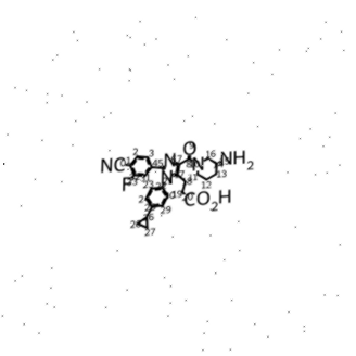 N#Cc1ccc(-c2nc(C(=O)N3CCC[C@H](N)C3)c(CCC(=O)O)n2-c2ccc(C3CC3)cc2)cc1F